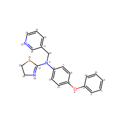 c1ccc(Oc2ccc(N(Cc3cccnc3)C3=NCCS3)cc2)cc1